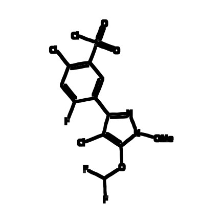 COn1nc(-c2cc(S(=O)(=O)Cl)c(Cl)cc2F)c(Cl)c1OC(F)F